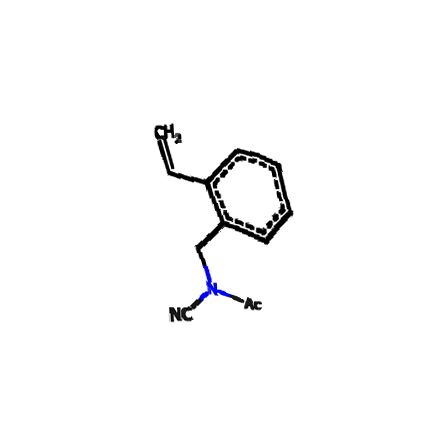 C=Cc1ccccc1CN(C#N)C(C)=O